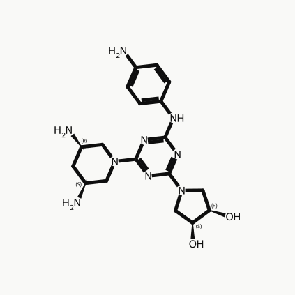 Nc1ccc(Nc2nc(N3C[C@H](N)C[C@H](N)C3)nc(N3C[C@@H](O)[C@@H](O)C3)n2)cc1